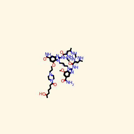 CCN/C(=C\C(C)=N)C(=O)Nc1nc2cc(C(N)=O)cc(OC)c2n1C/C=C/Cn1c(NC(=O)/C(=C/C(C)=N)NCC)nc2cc(C(N)=O)cc(OCCCN3CCN(C(=O)CCCCC(C)O)CC3)c21